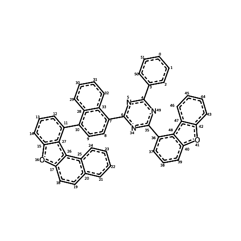 c1ccc(-c2nc(-c3ccc(-c4cccc5oc6ccc7ccccc7c6c45)c4ccccc34)nc(-c3cccc4oc5ccccc5c34)n2)cc1